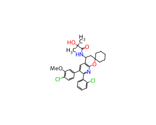 COc1cc(-c2cc3c(nc2-c2ccccc2Cl)OC2(CCCCC2)CC3NC(=O)C(C)(C)O)ccc1Cl